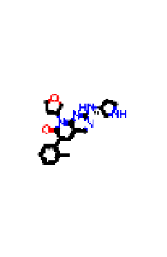 Cc1ccccc1-c1cc2cnc(N[C@H]3CCNC3)nc2n(C2CCOC2)c1=O